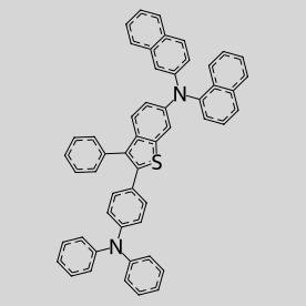 c1ccc(-c2c(-c3ccc(N(c4ccccc4)c4ccccc4)cc3)sc3cc(N(c4ccc5ccccc5c4)c4cccc5ccccc45)ccc23)cc1